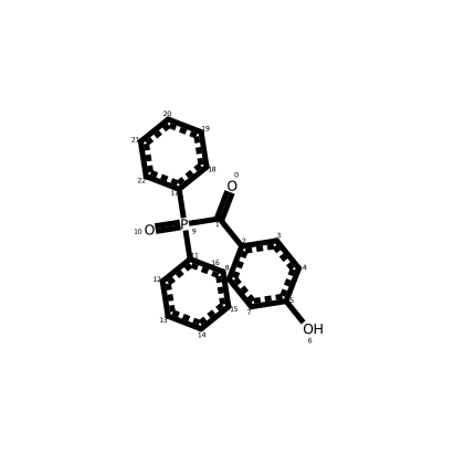 O=C(c1ccc(O)cc1)P(=O)(c1ccccc1)c1ccccc1